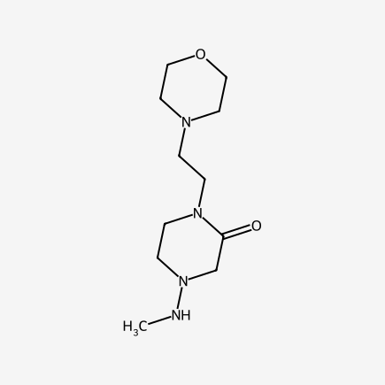 CNN1CCN(CCN2CCOCC2)C(=O)C1